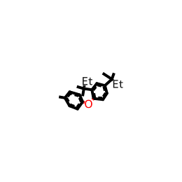 CCC(C)(C)c1ccc(Oc2ccc(C)cc2)c(C(C)(C)CC)c1